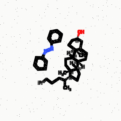 CC(C)CCCC(C)[C@H]1CC[C@H]2[C@@H]3CC=C4C[C@@H](O)CC[C@]4(C)[C@H]3CC[C@]12C.c1ccc(N=Nc2ccccc2)cc1